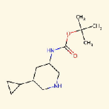 CC(C)(C)OC(=O)NC1CNCC(C2CC2)C1